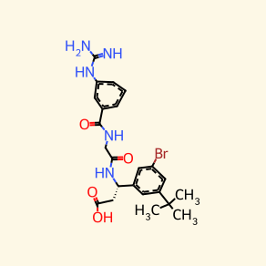 CC(C)(C)c1cc(Br)cc([C@H](CC(=O)O)NC(=O)CNC(=O)c2cccc(NC(=N)N)c2)c1